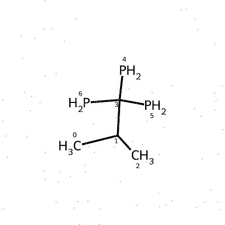 CC(C)C(P)(P)P